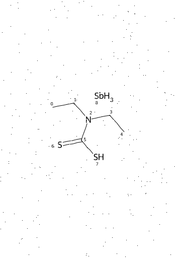 CCN(CC)C(=S)S.[SbH3]